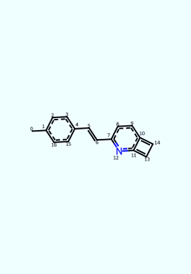 Cc1ccc(C=Cc2ccc3c(n2)=CC=3)cc1